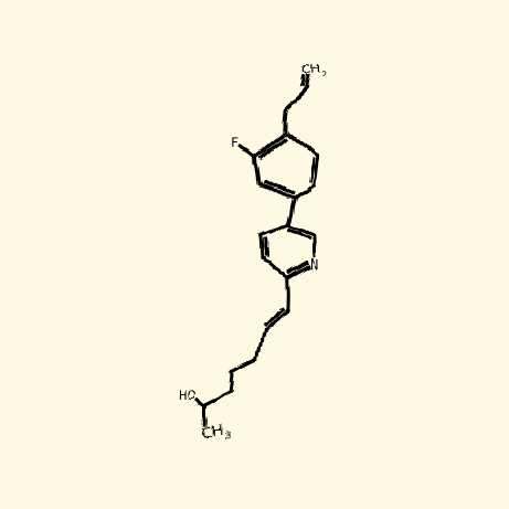 C=CCc1ccc(-c2ccc(C=CCCCC(C)O)nc2)cc1F